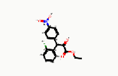 CCOC(=O)C(=O)C(c1ccc([N+](=O)[O-])cc1)c1ccccc1F